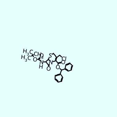 CC(C)(C)OC(=O)NC1C(=O)N2C(C(=O)OC(c3ccccc3)c3ccccc3)=C(CCl)CSC12